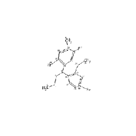 CCCC(c1cc(F)c(C)cc1Br)c1ccc(F)cc1CC